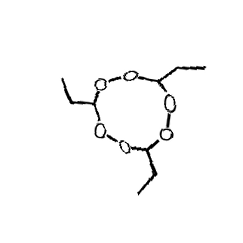 CCC1OOC(CC)OOC(CC)OO1